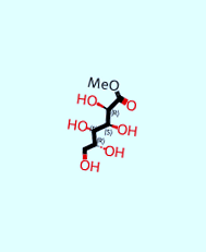 COC(=O)[C@H](O)[C@@H](O)[C@@H](O)[C@H](O)CO